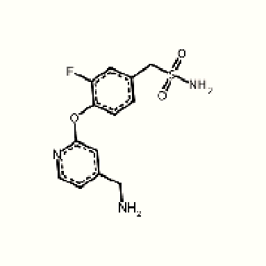 NCc1ccnc(Oc2ccc(CS(N)(=O)=O)cc2F)c1